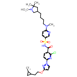 CN(CCCCC1CN(C(=O)O)C(C)(C)C1)c1ccc(S(=O)(=O)NC(=O)c2ccc(-n3ccc(OCCC4CC4C(F)(F)F)n3)nc2Cl)cn1